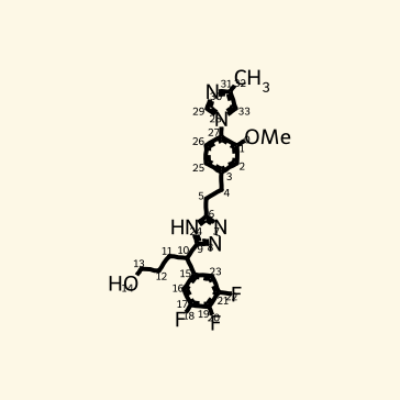 COc1cc(CCc2nnc(C(CCCO)c3cc(F)c(F)c(F)c3)[nH]2)ccc1-n1cnc(C)c1